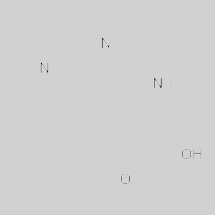 O=C(O)c1ncnc2ncccc12